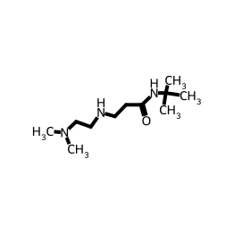 CN(C)CCNCCC(=O)NC(C)(C)C